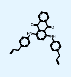 C=CCc1ccc(Nc2ccc(Nc3ccc(CC=C)cc3)c3c2C(=O)c2ccccc2C3=O)cc1